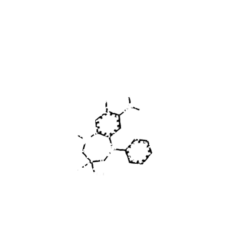 CCCCC1(CCCC)CN(c2ccccc2)c2cc(N(C)C)c(O)cc2[S+]([O-])C1